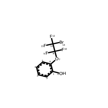 Oc1ccccc1OC(F)(F)C(F)(F)Br